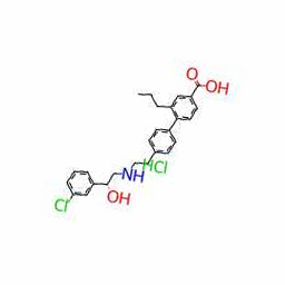 CCCc1cc(C(=O)O)ccc1-c1ccc(CCNC[C@H](O)c2cccc(Cl)c2)cc1.Cl